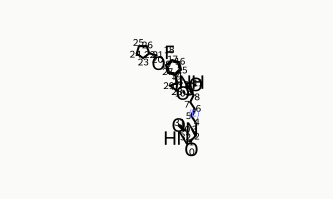 O=C1CN(C/C=C/CCS(=O)(=O)NC2(c3ccc(F)c(OCC4CCCC4)c3)CC2)C(=O)N1